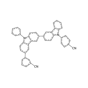 N#Cc1ccc(-n2c3ccccc3c3cc(-c4ccc5c(c4)c4cc(-c6cccc(C#N)c6)ccc4n5-c4ccccc4)ccc32)cc1